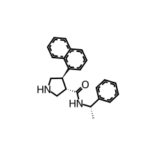 C[C@H](NC(=O)[C@@H]1CNC[C@H]1c1cccc2ccccc12)c1ccccc1